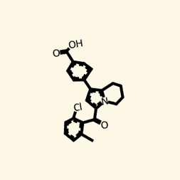 Cc1cccc(Cl)c1C(=O)c1cc(-c2ccc(C(=O)O)cc2)c2n1CCCC2